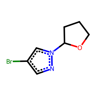 Brc1cnn(C2CCCO2)c1